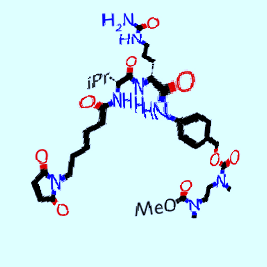 COC(=O)N(C)CCN(C)C(=O)OCc1ccc(NC(=O)[C@@H](CCCNC(N)=O)NC(=O)[C@H](NC(=O)CCCCCN2C(=O)C=CC2=O)C(C)C)cc1